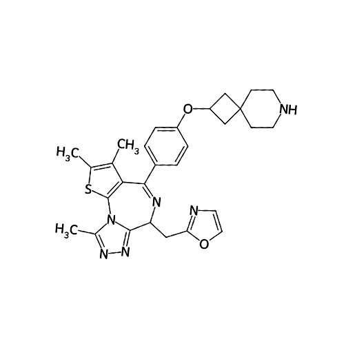 Cc1sc2c(c1C)C(c1ccc(OC3CC4(CCNCC4)C3)cc1)=NC(Cc1ncco1)c1nnc(C)n1-2